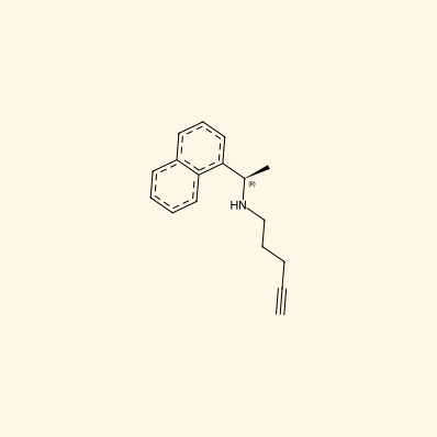 C#CCCCN[C@H](C)c1cccc2ccccc12